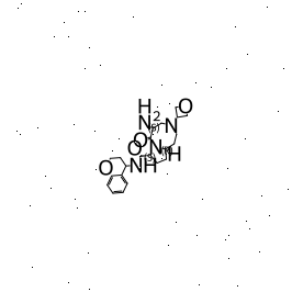 N[C@H]1CN(C2COC2)CC[C@H]2CC[C@@H](C(=O)NC3CCOc4ccccc43)N2C1=O